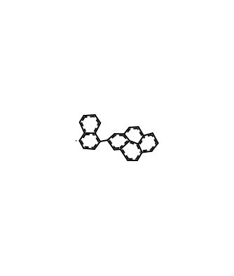 [c]1ccc(-c2cc3ccc4cccc5ccc(c2)c3c45)c2ccccc12